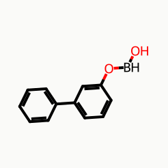 OBOc1cccc(-c2ccccc2)c1